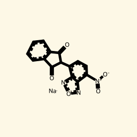 O=C1c2ccccc2C(=O)C1c1ccc([N+](=O)[O-])c2nonc12.[Na]